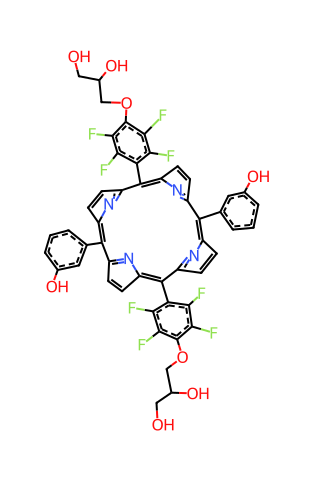 OCC(O)COc1c(F)c(F)c(C2=C3C=CC(=N3)C(c3cccc(O)c3)=C3C=CC(=N3)C(c3c(F)c(F)c(OCC(O)CO)c(F)c3F)=C3C=CC(=N3)C(c3cccc(O)c3)=C3C=CC2=N3)c(F)c1F